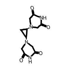 O=C1CN([C@@H]2C[C@@H]2N2CC(=O)NC(=O)C2)CC(=O)N1